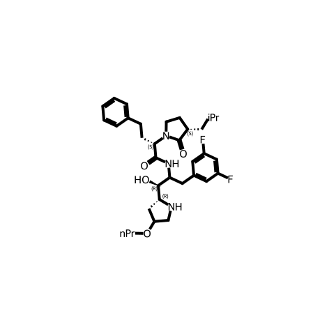 CCCOC1CN[C@@H]([C@@H](O)C(Cc2cc(F)cc(F)c2)NC(=O)[C@H](CCc2ccccc2)N2CC[C@H](CC(C)C)C2=O)C1